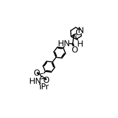 CC(C)NS(=O)(=O)c1ccc(-c2ccc(NC(=O)[C@H]3CN4CCC3CC4)cc2)cc1